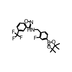 CC1(C)OB(c2ccc(CNc3noc4ccc(C(F)(F)F)cc34)c(F)c2)OC1(C)C